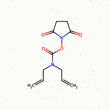 C=CCN(CC=C)C(=O)ON1C(=O)CCC1=O